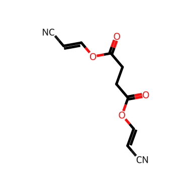 N#CC=COC(=O)CCC(=O)OC=CC#N